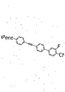 CCCCCc1ccc(C#Cc2ccc(-c3ccc(C#N)c(F)c3)cc2)cc1